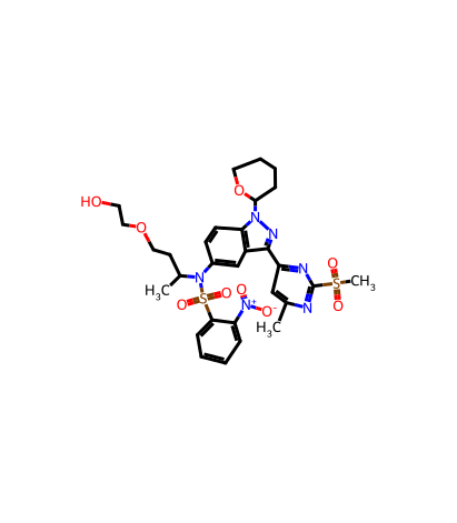 Cc1cc(-c2nn(C3CCCCO3)c3ccc(N(C(C)CCOCCO)S(=O)(=O)c4ccccc4[N+](=O)[O-])cc23)nc(S(C)(=O)=O)n1